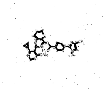 COc1ncnc(C2CC2)c1-c1nc(OC(C)c2ccc(-c3nc(C(F)(F)F)cn3C(C)C)cc2)c2ncccc2n1